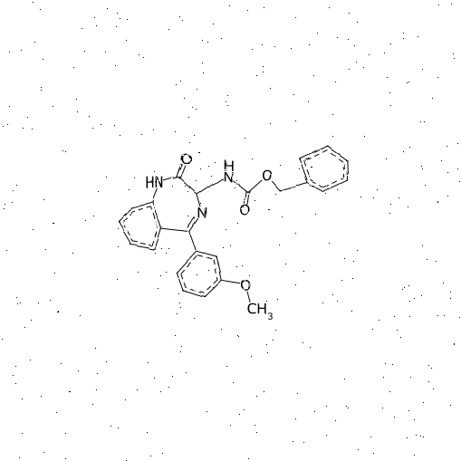 COc1cccc(C2=NC(NC(=O)OCc3ccccc3)C(=O)Nc3ccccc32)c1